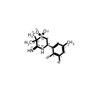 Cc1cc(F)c(F)c([C@@H]2CS(=O)(=O)C(C)(C)C(=N)N2)c1